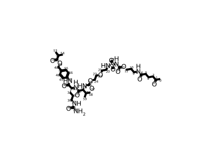 CC(=O)CCCC(=O)NCCCOC(=O)NS(=O)(=O)NCCOCCOC(=O)N[C@@H](C(=O)N[C@H](CCCNC(N)=O)C(=O)Nc1ccc(COC(=O)C(C)C)cc1)C(C)C